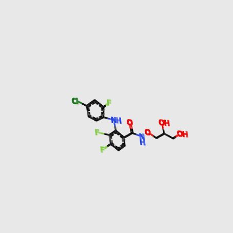 O=C(NOCC(O)CO)c1ccc(F)c(F)c1Nc1ccc(Cl)cc1F